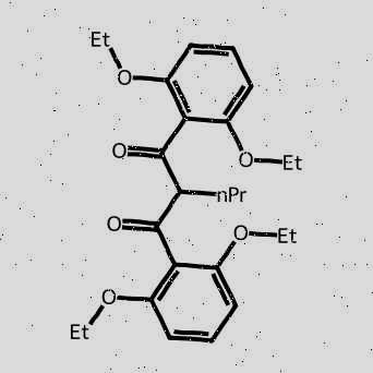 C[CH]CC(C(=O)c1c(OCC)cccc1OCC)C(=O)c1c(OCC)cccc1OCC